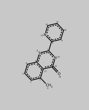 Cc1cccc2sc(-c3ccccn3)nc(=O)c12